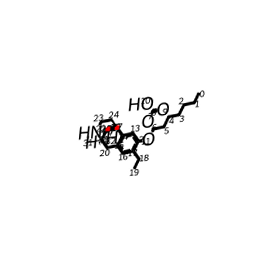 CCCCCCC(OC(=O)O)Oc1cc2c(cc1CC)C[C@H]1NCC[C@@]23CCCC[C@@H]13